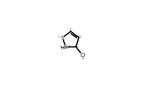 Cl[C]1C=CSN1